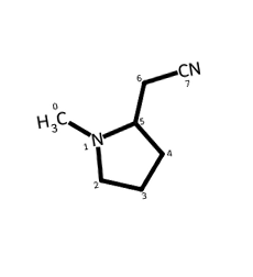 CN1CCCC1CC#N